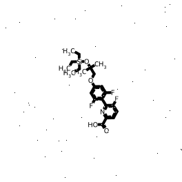 CC[Si](CC)(CC)OC(C)(C)COc1cc(F)c(-c2nc(C(=O)O)ccc2F)c(F)c1